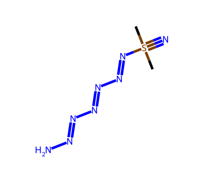 CS(C)(#N)N=NN=NN=NN